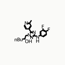 CCCCC(O)Cn1nc(Nc2ccc(F)c(F)c2)nc1-c1ccnc(C)c1